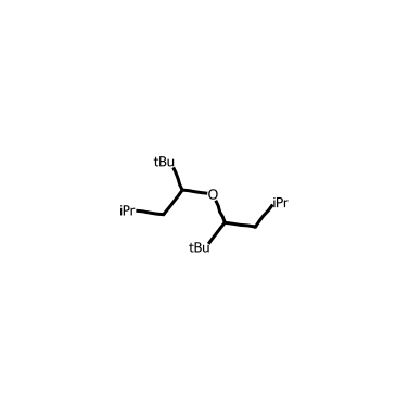 CC(C)CC(OC(CC(C)C)C(C)(C)C)C(C)(C)C